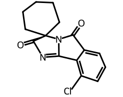 O=C1c2cccc(Cl)c2C2=NC(=O)C3(CCCCC3)N12